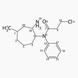 CC1CCCC(N(C(=O)CCCl)c2ccccc2)C(N)C1